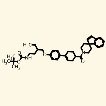 CCC(CCNC(=O)OC(C)(C)C)COc1ccc(C2=CCC(C(=O)N3CCC4(C=Cc5ccccc54)CC3)CC2)cc1